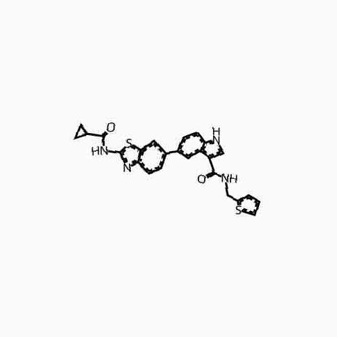 O=C(NCc1cccs1)c1c[nH]c2ccc(-c3ccc4nc(NC(=O)C5CC5)sc4c3)cc12